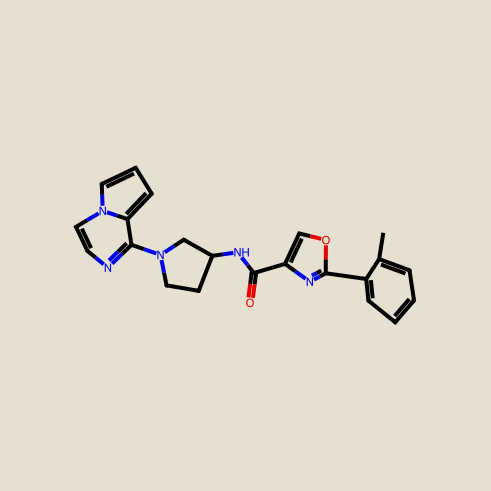 Cc1ccccc1-c1nc(C(=O)NC2CCN(c3nccn4cccc34)C2)co1